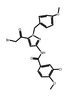 COc1ccc(Cn2nc(NC(=O)c3ccc(OC)c(Cl)c3)cc2C(=O)CBr)cc1